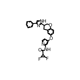 O=C(Nc1cc(Oc2ccc3c(c2)CC(c2nc(-c4ccccc4)c[nH]2)CO3)ccn1)C1C(F)C1F